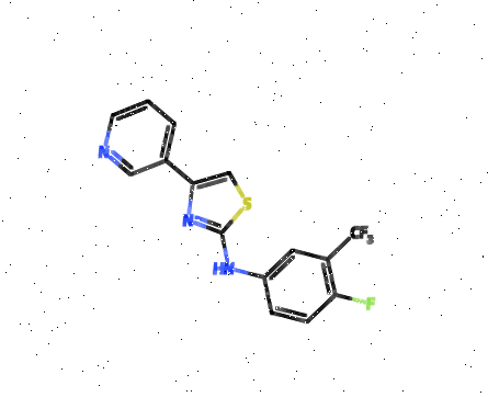 Fc1ccc(Nc2nc(-c3cccnc3)cs2)cc1C(F)(F)F